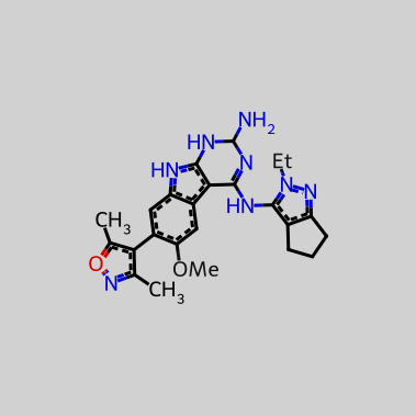 CCn1nc2c(c1NC1=NC(N)Nc3[nH]c4cc(-c5c(C)noc5C)c(OC)cc4c31)CCC2